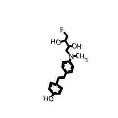 CN(CC(O)C(O)CF)c1ccc(/C=C/c2ccc(O)cc2)cc1